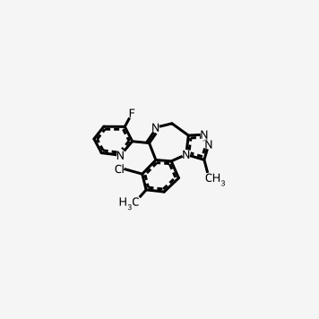 Cc1ccc2c(c1Cl)C(c1ncccc1F)=NCc1nnc(C)n1-2